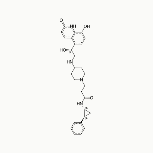 O=C(CCN1CCC(NC[C@@H](O)c2ccc(O)c3[nH]c(=O)ccc23)CC1)N[C@@H]1C[C@H]1c1ccccc1